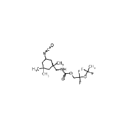 CC1(C)CC(N=C=O)CC(C)(CNC(=O)OCC(F)(F)OC(C)(F)F)C1